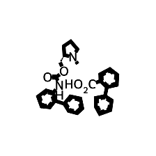 CN1CCC[C@H]1COC(=O)Nc1ccccc1-c1ccccc1.O=C(O)c1ccccc1-c1ccccc1